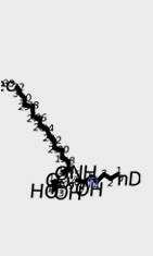 CCCCCCCCCCCCC/C=C/[C@@H](O)[C@H](COP(=O)(O)O)NC(=O)CCCCCCCCCCCCCCCCCCCCCCCCC